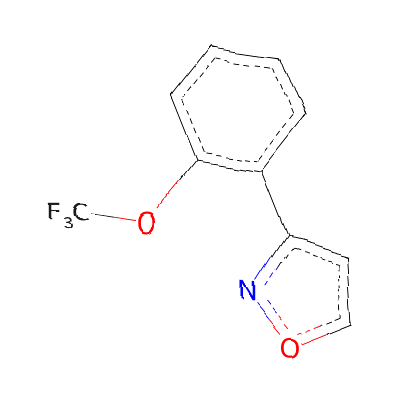 FC(F)(F)Oc1ccccc1-c1ccon1